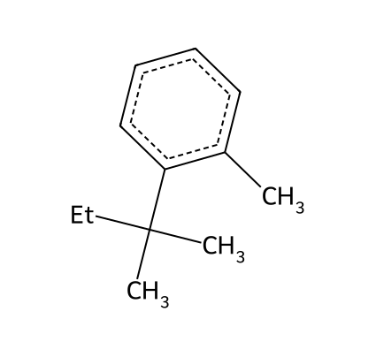 CCC(C)(C)c1ccccc1C